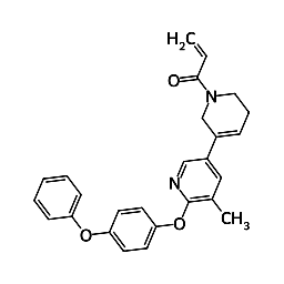 C=CC(=O)N1CCC=C(c2cnc(Oc3ccc(Oc4ccccc4)cc3)c(C)c2)C1